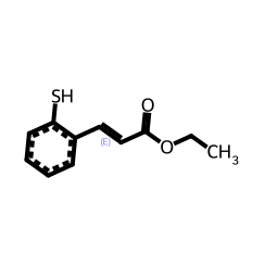 CCOC(=O)/C=C/c1ccccc1S